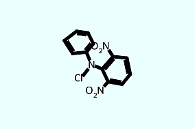 O=[N+]([O-])c1cccc([N+](=O)[O-])c1N(Cl)c1ccccc1